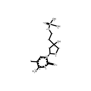 Cc1cn([C@H]2CC(O)(CCOP(=O)(O)O)CO2)c(=O)nc1N